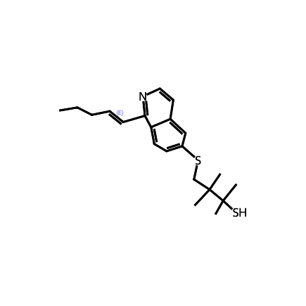 CCC/C=C/c1nccc2cc(SCC(C)(C)C(C)(C)S)ccc12